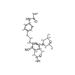 C=CC(=O)Nc1ccc(CCSc2nc(N3CC(C)OC(C)C3)c3c(c2C#N)CC(C(C)C)OC3)cc1